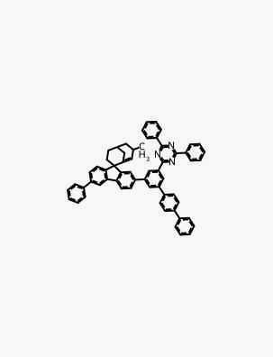 CC1C=C2CC(CCC23c2ccc(-c4ccccc4)cc2-c2ccc(-c4cc(-c5ccc(-c6ccccc6)cc5)cc(-c5nc(-c6ccccc6)nc(-c6ccccc6)n5)c4)cc23)C1